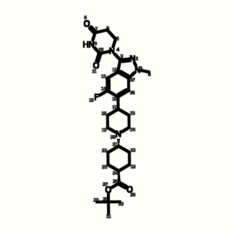 Cn1nc(N2CCC(=O)NC2=O)c2cc(F)c(C3CCN([C@H]4CC[C@H](C(=O)OC(C)(C)C)CC4)CC3)cc21